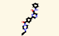 C#CCN1CCN(C(=O)c2ccc(-c3cncc(C(=O)Nc4ccccc4)n3)cc2)CC1